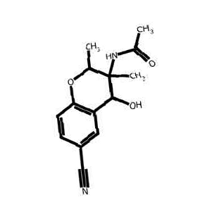 CC(=O)NC1(C)C(C)Oc2ccc(C#N)cc2C1O